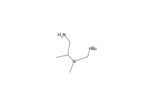 CCCCCN(C)C(C)CN